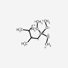 CO[Si](CC(C)C(C)C)(OC)OC